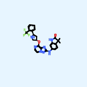 CC1(C)C(=O)Nc2cc(Nc3nc4c(O[C@@H]5CN[C@@H](c6ccccc6C(F)(F)F)C5)nccn4n3)ccc21